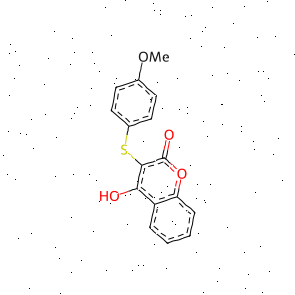 COc1ccc(Sc2c(O)c3ccccc3oc2=O)cc1